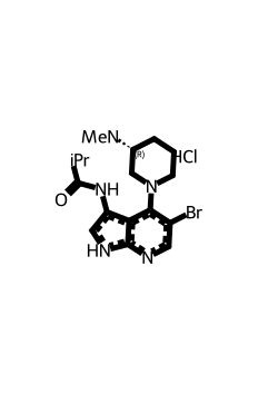 CN[C@@H]1CCCN(c2c(Br)cnc3[nH]cc(NC(=O)C(C)C)c23)C1.Cl